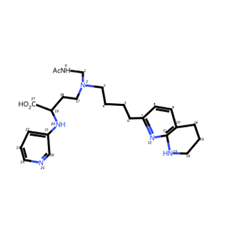 CC(=O)NCN(CCCCc1ccc2c(n1)NCCC2)CCC(Nc1cccnc1)C(=O)O